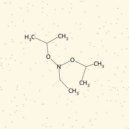 CCN(OC(C)C)OC(C)C